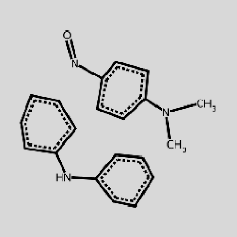 CN(C)c1ccc(N=O)cc1.c1ccc(Nc2ccccc2)cc1